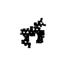 CCCN(CCC)C(=O)c1cc(NS(=O)(=O)c2cccs2)cc(C(=O)N[C@@H](Cc2ccccc2)[C@H](O)CNCc2cccc(OC)c2)c1.Cl